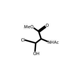 COC(=O)C(NC(C)=O)C(O)Cl